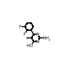 Nc1nc(O)c(I)c(-c2cccc(F)c2F)n1